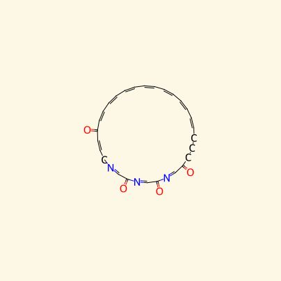 O=C1C=CC=CC=CC=CC=CC=CC=CCCCC(=O)C=NC(=O)C=NC(=O)C=NCC=C1